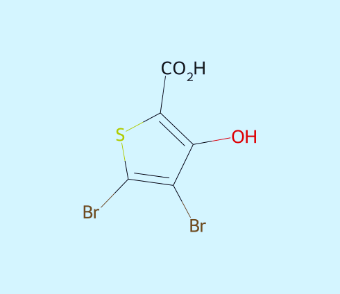 O=C(O)c1sc(Br)c(Br)c1O